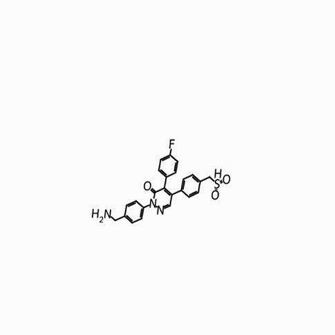 NCc1ccc(-n2ncc(-c3ccc(C[SH](=O)=O)cc3)c(-c3ccc(F)cc3)c2=O)cc1